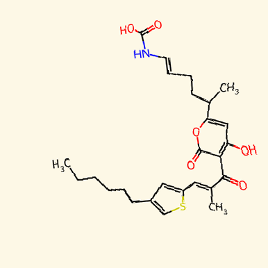 CCCCCCc1csc(C=C(C)C(=O)c2c(O)cc(C(C)CCC=CNC(=O)O)oc2=O)c1